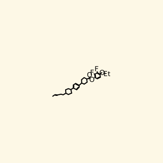 C/C=C/CCC1CCC(c2ccc(C3CCC(C(=O)Oc4ccc(OCC)c(F)c4F)CC3)cc2)CC1